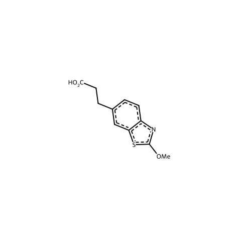 COc1nc2ccc(CCC(=O)O)cc2s1